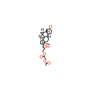 CC[C@]12CC[C@H]3[C@@H]([C@H]4C[C@H]4C4=CC(=O)CC[C@@H]43)[C@@H]1CC[C@@]2(O)CCCOC(=O)COC(C)=O